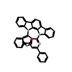 c1ccc(-c2cc(-c3ccccc3)nc(-n3c4ccccc4c4ccc5c6ccccc6n(-c6ccncc6)c5c43)n2)cc1